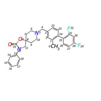 Cc1cc(CN2CCC3(CC2)CN(c2ccccc2)C(=O)O3)ccc1-c1ccc(F)cc1F